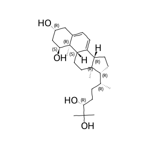 C[C@H](CC[C@@H](O)C(C)(C)O)[C@H]1CC[C@H]2C3=CC=C4C[C@@H](O)C[C@H](O)[C@]4(C)[C@H]3CC[C@]12C